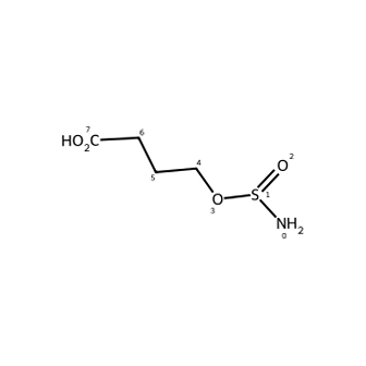 NS(=O)OCCCC(=O)O